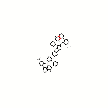 CC(C)c1ccc(N(c2cc([Si](C)(C)C)ccc2-c2ccccc2)c2ccc3c4cc5c(cc4n4c6ccccc6c2c34)c2ccc(N(c3ccc(C(C)C)cc3)c3cc([Si](C)(C)C)ccc3-c3ccccc3)c3c4ccccc4n5c23)cc1